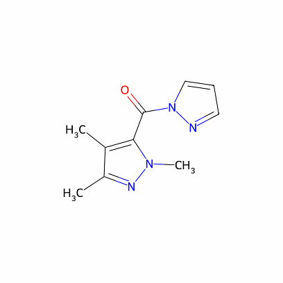 Cc1nn(C)c(C(=O)n2cccn2)c1C